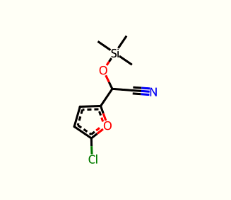 C[Si](C)(C)OC(C#N)c1ccc(Cl)o1